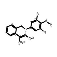 CCOc1c(Cl)cc(OCc2ccccc2C(=NOC)C(=O)O)cc1Cl